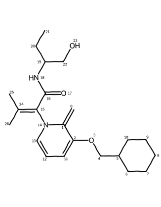 C=C1C(OCC2CCCCC2)=CC=CN1C(C(=O)NC(CC)CO)=C(C)C